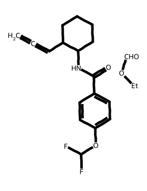 C=C=CC1CCCCC1NC(=O)c1ccc(OC(F)F)cc1.CCOC=O